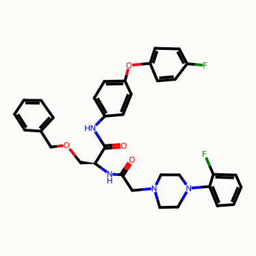 O=C(CN1CCN(c2ccccc2F)CC1)N[C@@H](COCc1ccccc1)C(=O)Nc1ccc(Oc2ccc(F)cc2)cc1